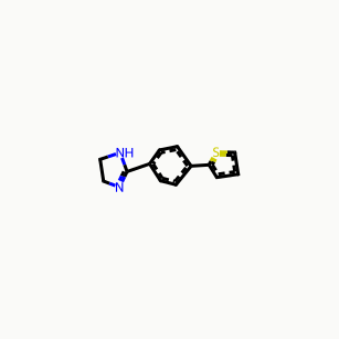 c1csc(-c2ccc(C3=NCCN3)cc2)c1